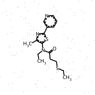 CCSCCC(=O)N(CC)c1sc(-c2cccnc2)nc1C